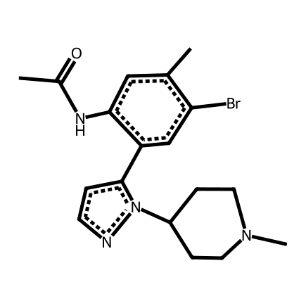 CC(=O)Nc1cc(C)c(Br)cc1-c1ccnn1C1CCN(C)CC1